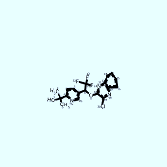 CC(C)(O)c1ccc(C(Oc2nc3ccccc3nc2Cl)C(F)(F)F)cn1